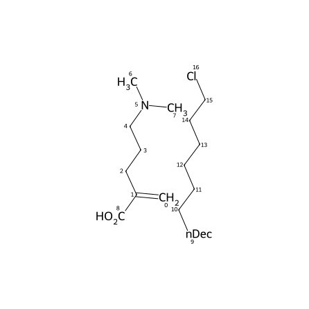 C=C(CCCN(C)C)C(=O)O.CCCCCCCCCCCCCCCCCl